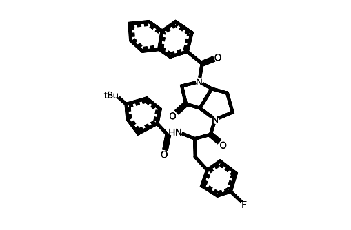 CC(C)(C)c1ccc(C(=O)NC(Cc2ccc(F)cc2)C(=O)N2CCC3C2C(=O)CN3C(=O)c2ccc3ccccc3c2)cc1